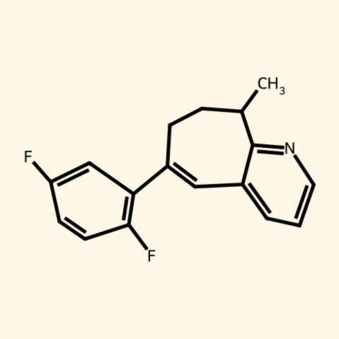 CC1CCC(c2cc(F)ccc2F)=Cc2cccnc21